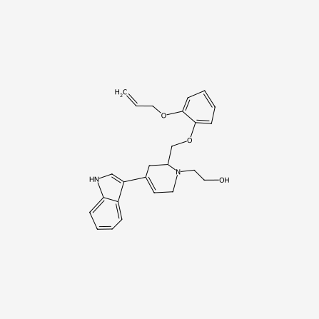 C=CCOc1ccccc1OCC1CC(c2c[nH]c3ccccc23)=CCN1CCO